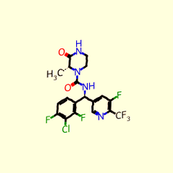 C[C@@H]1C(=O)NCCN1C(=O)N[C@@H](c1cnc(C(F)(F)F)c(F)c1)c1ccc(F)c(Cl)c1F